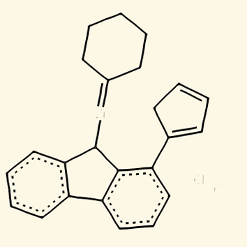 C1=CCC(c2cccc3c2[CH]([Zr+2]=[C]2CCCCC2)c2ccccc2-3)=C1.[Cl-].[Cl-]